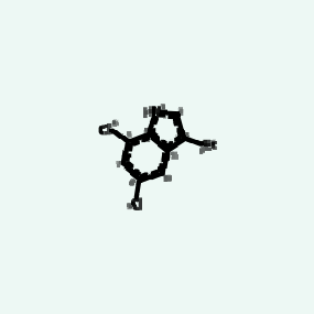 CCc1c[nH]c2c(Cl)cc(Cl)cc12